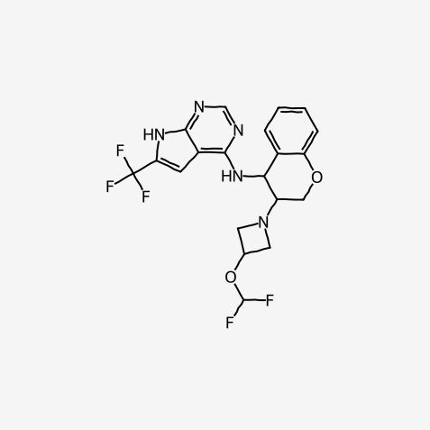 FC(F)OC1CN(C2COc3ccccc3C2Nc2ncnc3[nH]c(C(F)(F)F)cc23)C1